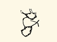 CC(C)(C)c1ccccc1Cc1ccn[nH]c1=O